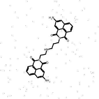 Nc1cc2c3c(cccc3c1)C(=O)N(CCCNCCN1C(=O)c3cccc4cc(N)cc(c34)C1=O)C2=O